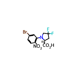 O=C(O)[C@@H]1CC(F)(F)CN1c1cc(Br)ccc1[N+](=O)[O-]